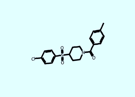 Cc1ccc(C(=O)N2CCC(S(=O)(=O)c3ccc(Cl)cc3)CC2)cc1